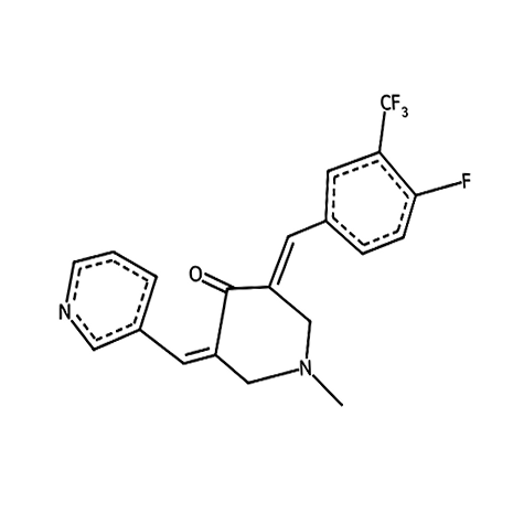 CN1CC(=Cc2cccnc2)C(=O)/C(=C/c2ccc(F)c(C(F)(F)F)c2)C1